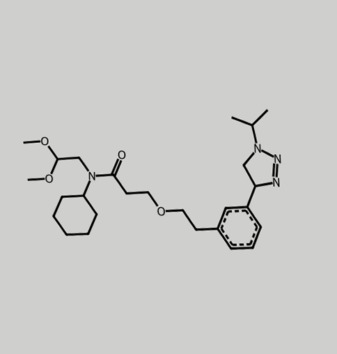 COC(CN(C(=O)CCOCCc1cccc(C2CN(C(C)C)N=N2)c1)C1CCCCC1)OC